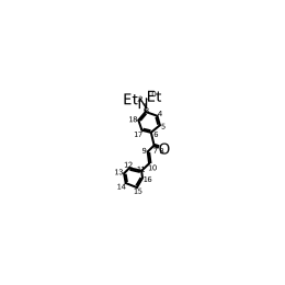 CCN(CC)c1ccc(C(=O)/C=C/c2ccccc2)cc1